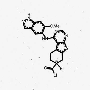 CC[C@@]1(C(=O)Cl)CCc2c(sc3ncnc(Nc4cc5cn[nH]c5cc4OC)c23)C1